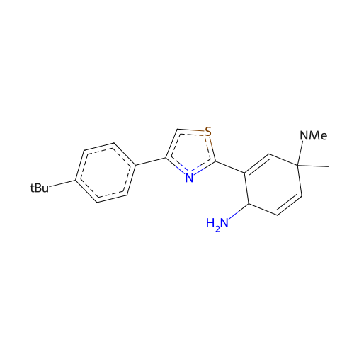 CNC1(C)C=CC(N)C(c2nc(-c3ccc(C(C)(C)C)cc3)cs2)=C1